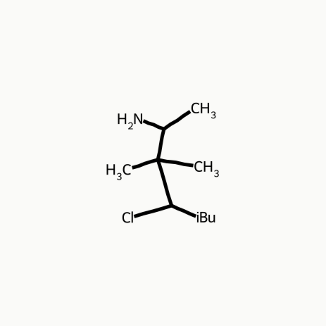 CCC(C)C(Cl)C(C)(C)C(C)N